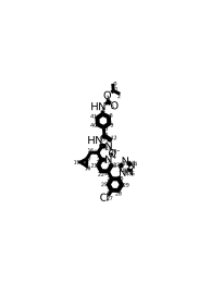 CC(C)OC(=O)Nc1ccc(-c2cnc(C(CC3CC3)c3ccc(-c4cc(Cl)ccc4-n4cnnn4)c[n+]3[O-])[nH]2)cc1